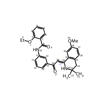 CCOc1ccccc1C(=O)Nc1cccc(C(=O)/C=C2\NC(C)(C)Cc3ccc(OC)cc32)c1